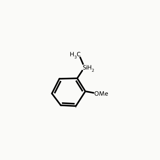 COc1[c]cccc1[SiH2]C